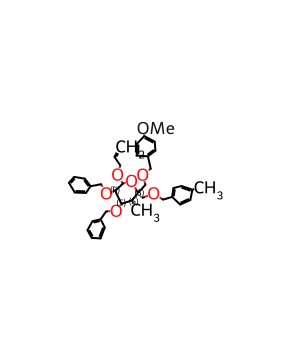 C=CCOC1O[C@@](COCc2ccc(C)cc2)(COCc2ccc(OC)cc2)[C@@H](C)[C@H](OCc2ccccc2)[C@H]1OCc1ccccc1